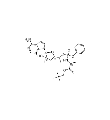 CC(OP(=O)(N[C@@H](C)C(=O)OCC(C)(C)C)Oc1ccccc1)[C@@H]1C[C@@](C)(O)[C@H](n2ccc3c(N)ncnc32)O1